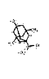 CC12CC3(C)CC(O)(C1)CC(N(C(=O)O)C(C)(C)C)(C2)C3